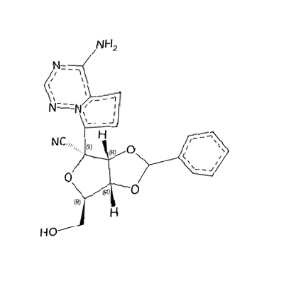 N#C[C@@]1(c2ccc3c(N)ncnn23)O[C@H](CO)[C@H]2OC(c3ccccc3)O[C@H]21